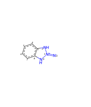 [N-]=[N+]1Nc2ccccc2N1